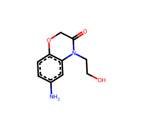 Nc1ccc2c(c1)N(CCO)C(=O)CO2